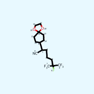 N#CC(CCCC(F)(C(F)(F)F)C(F)(F)F)C1CCC2(CC1)OCCO2